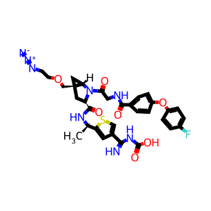 C[C@@H](NC(=O)[C@@H]1C[C@]2(COCCN=[N+]=[N-])C[C@@H]2N1C(=O)CNC(=O)c1ccc(Oc2ccc(F)cc2)cc1)c1cc(C(=N)NC(=O)O)cs1